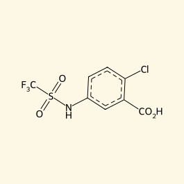 O=C(O)c1cc(NS(=O)(=O)C(F)(F)F)ccc1Cl